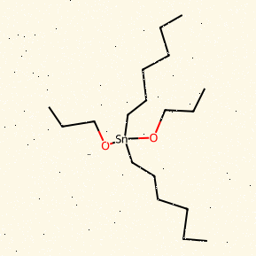 CCCCC[CH2][Sn]([CH2]CCCCC)([O]CCC)[O]CCC